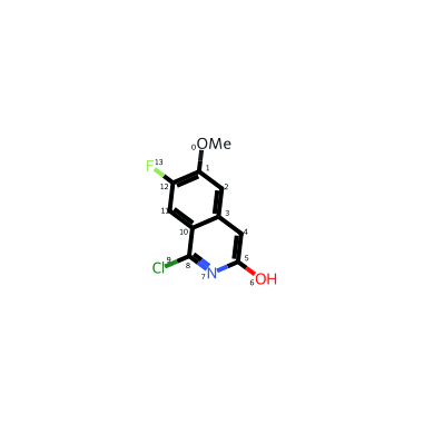 COc1cc2cc(O)nc(Cl)c2cc1F